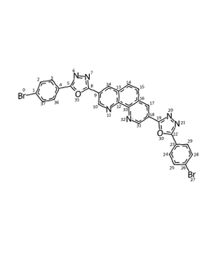 Brc1ccc(-c2nnc(-c3cnc4c(ccc5cc(-c6nnc(-c7ccc(Br)cc7)o6)cnc54)c3)o2)cc1